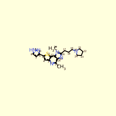 Cc1nc2cc(-c3cc[nH]n3)sc2c2c1nc(CCCN1CCCC1)n2C